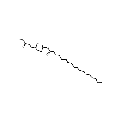 CCCCCCCCCCCCCCCCCC(=O)OC1CCN(CCC(=O)OC)CC1